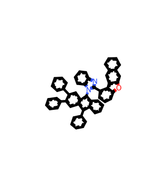 c1ccc(-c2cc3c(-c4ccccc4)c4ccccc4c(-n4c(-c5cccc6oc7cc8ccccc8cc7c56)nc5ccccc54)c3cc2-c2ccccc2)cc1